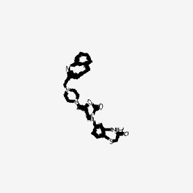 O=C1CSc2ccc(N3CC(CN4CCN(Cc5ccc6ccccc6n5)CC4)OC3=O)cc2N1